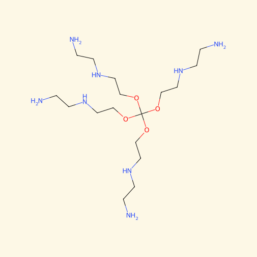 NCCNCCOC(OCCNCCN)(OCCNCCN)OCCNCCN